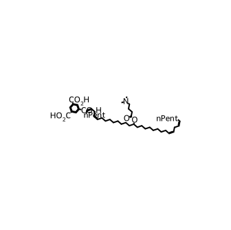 CCCCC/C=C\C/C=C\CCCCCCCCC(CCCCCCCC/C=C\C/C=C\CCCCC)OC(=O)CCCN(C)C.O=C(O)c1cc(C(=O)O)cc(C(=O)O)c1